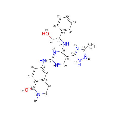 CN1CCc2cc(Nc3ncc(-c4nc(C(F)(F)F)n[nH]4)c(N[C@H](CO)c4ccccc4)n3)ccc2C1=O